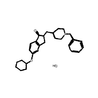 Cl.O=C1c2ccc(OC3CCCCC3)cc2CC1CC1CCN(Cc2ccccc2)CC1